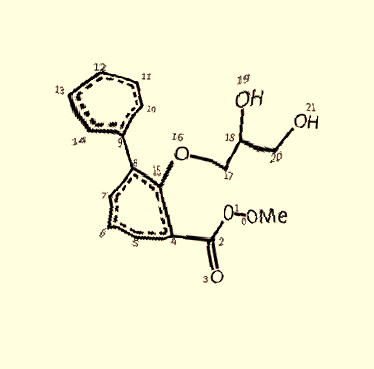 COOC(=O)c1cccc(-c2ccccc2)c1OCC(O)CO